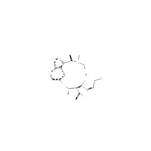 C=C(Cl)/C1=C(\C=C/CF)OCCN(C)C(=O)c2n[nH]c3ncc(cc23)O[C@@H]1C